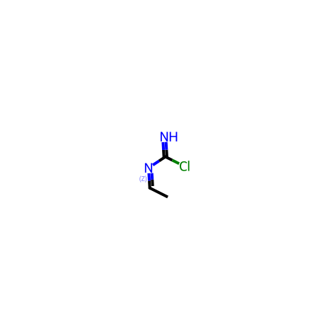 C/C=N\C(=N)Cl